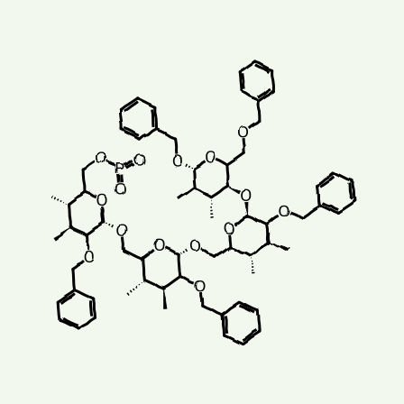 CC1[C@H](OCc2ccccc2)OC(COCc2ccccc2)[C@@H](O[C@@H]2OC(CO[C@H]3OC(CO[C@H]4OC(COP(=O)=O)[C@@H](C)[C@H](C)C4OCc4ccccc4)[C@@H](C)[C@H](C)C3OCc3ccccc3)[C@@H](C)[C@H](C)C2OCc2ccccc2)[C@@H]1C